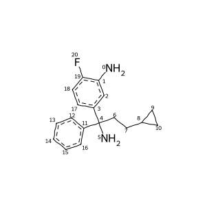 Nc1cc(C(N)(CCC2CC2)c2ccccc2)ccc1F